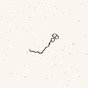 CCCCC/C=C\CCCCC#CCOC1CCCCO1